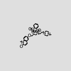 CN1CCN(CCN(CCCOc2ccc3c(ccc(=O)n3C)c2)S(=O)(=O)c2ccccc2[N+](=O)[O-])CC1